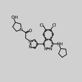 O=C(Cn1cc(-c2nnc(NC3CCCC3)c3cc(Cl)c(Cl)cc23)cn1)N1CCC(O)C1